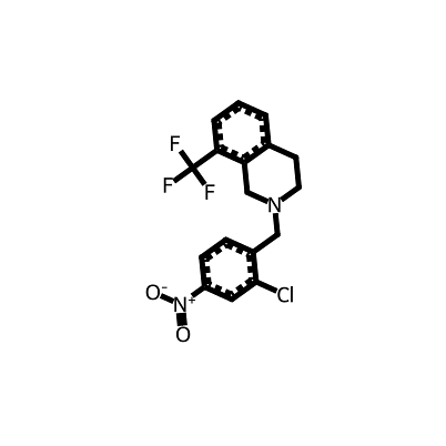 O=[N+]([O-])c1ccc(CN2CCc3cccc(C(F)(F)F)c3C2)c(Cl)c1